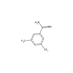 N=C(N)c1cc(C(F)(F)F)cc(C(F)(F)F)c1